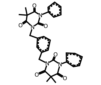 CC1(C)C(=O)N(Cc2cccc(CN3C(=O)N(c4ccccc4)C(=O)C(C)(C)C3=O)c2)C(=O)N(c2ccccc2)C1=O